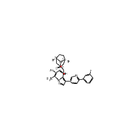 CC(=O)c1c([C@@H]2C[C@H]3CC[C@@H](C2)N3C(=O)CO)nc2c(-c3ccc(-c4cccc(F)c4)nc3)cnn2c1N